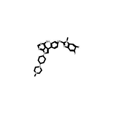 CN1CCN([C@H]2CC[C@@H](n3cc(-c4ccc(Nc5nc6cc(F)c(F)cc6n5C)cc4)c4c(N)ncnc43)CC2)CC1